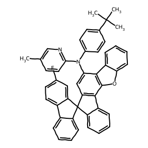 Cc1ccc(N(c2ccc(C(C)(C)C)cc2)c2cc3c(c4oc5ccccc5c24)-c2ccccc2C32c3ccccc3-c3ccc(F)cc32)nc1